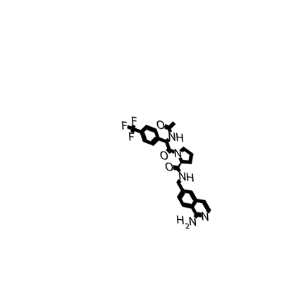 CC(=O)NC(C(=O)N1CCC[C@H]1C(=O)NCc1ccc2c(N)nccc2c1)c1ccc(C(F)(F)F)cc1